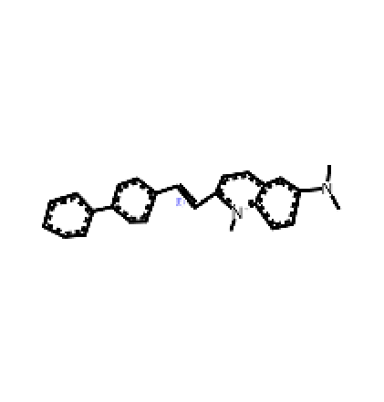 CN(C)c1ccc2c(ccc(/C=C/c3ccc(-c4ccccc4)cc3)[n+]2C)c1